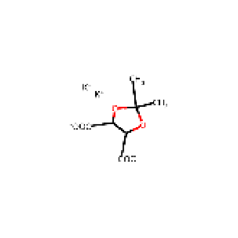 CC1(C)OC(C(=O)[O-])C(C(=O)[O-])O1.[K+].[K+]